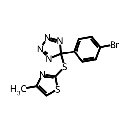 Cc1csc(SC2(c3ccc(Br)cc3)N=NN=N2)n1